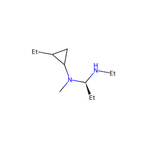 CCN[C@@H](CC)N(C)C1CC1CC